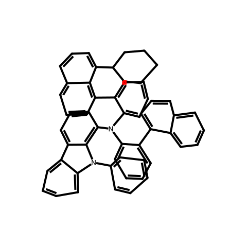 c1ccc(-n2c3ccccc3c3cccc(N(c4ccccc4-c4cccc5ccccc45)c4ccccc4-c4cccc5cccc(C6CCCCC6)c45)c32)cc1